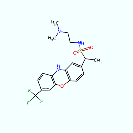 CC(c1ccc2c(c1)Nc1ccc(C(F)(F)F)cc1O2)S(=O)(=O)NCCN(C)C